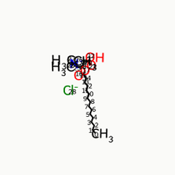 CCCCCCCCCCCCCCCC(=O)OC(CC(=O)O)C[N+](C)(C)C.[Cl-]